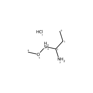 CCC(N)[SiH2]OC.Cl